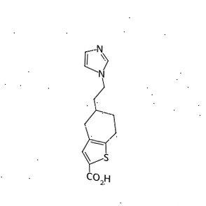 O=C(O)c1cc2c(s1)CCC(CCn1ccnc1)C2